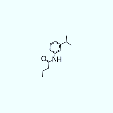 CCCC(=O)Nc1cccc(C(C)C)c1